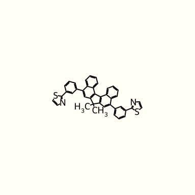 CC1(C)c2cc(-c3cccc(-c4nccs4)c3)c3ccccc3c2-c2c1cc(-c1cccc(-c3nccs3)c1)c1ccccc21